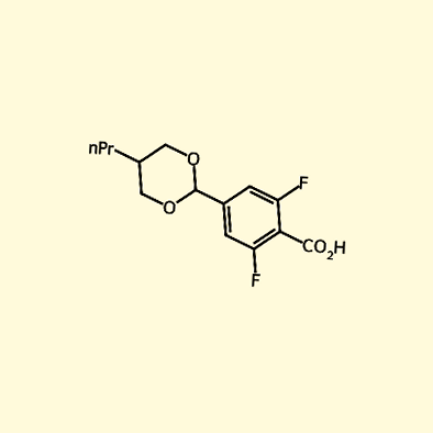 CCCC1COC(c2cc(F)c(C(=O)O)c(F)c2)OC1